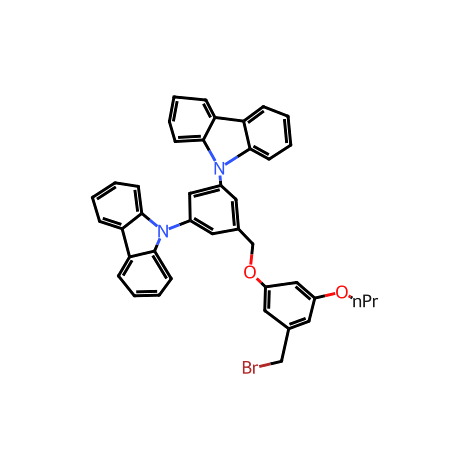 CCCOc1cc(CBr)cc(OCc2cc(-n3c4ccccc4c4ccccc43)cc(-n3c4ccccc4c4ccccc43)c2)c1